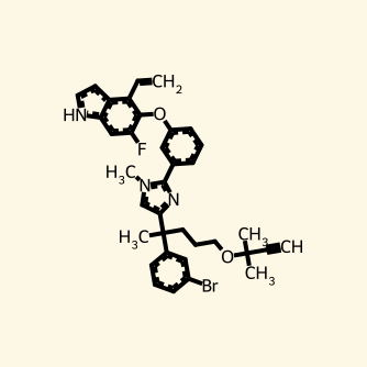 C#CC(C)(C)OCCCC(C)(c1cccc(Br)c1)c1cn(C)c(-c2cccc(Oc3c(F)cc4[nH]ccc4c3C=C)c2)n1